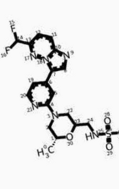 C[C@@H]1CN(c2cc(-c3cnc4ccc(C(F)F)nn34)ccn2)CC(CNS(C)(=O)=O)O1